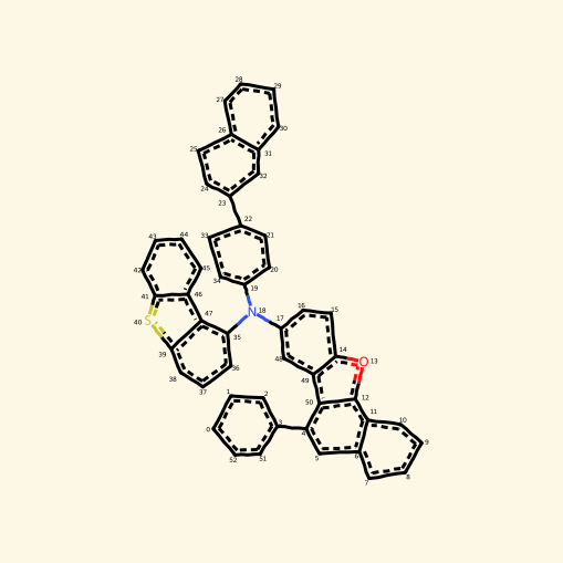 c1ccc(-c2cc3ccccc3c3oc4ccc(N(c5ccc(-c6ccc7ccccc7c6)cc5)c5cccc6sc7ccccc7c56)cc4c23)cc1